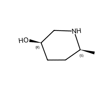 C[C@H]1CC[C@@H](O)CN1